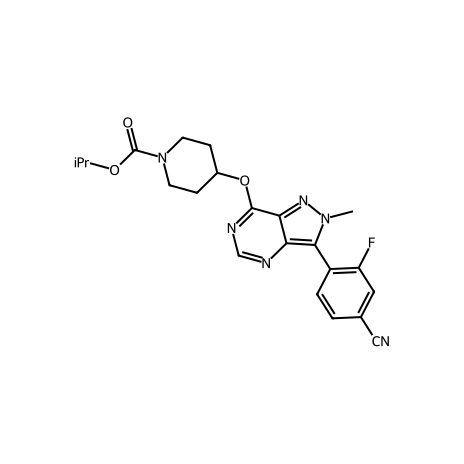 CC(C)OC(=O)N1CCC(Oc2ncnc3c(-c4ccc(C#N)cc4F)n(C)nc23)CC1